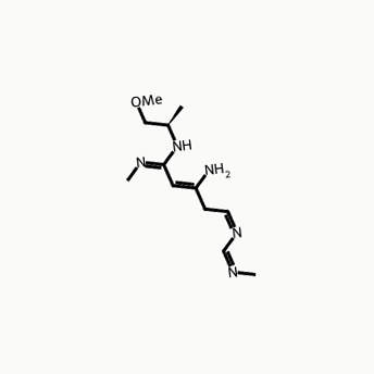 C/N=C\N=C/C/C(N)=C/C(=N\C)N[C@H](C)COC